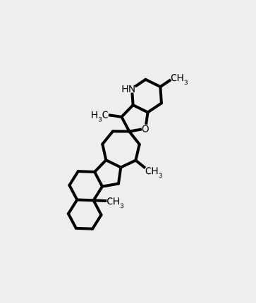 CC1CNC2C(C1)OC1(CCC3C(CC4C3CCC3CCCCC34C)C(C)C1)C2C